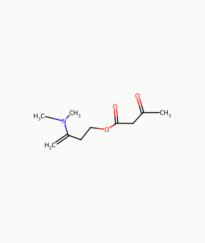 C=C(CCOC(=O)CC(C)=O)N(C)C